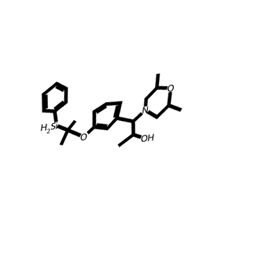 CC1CN(C(c2cccc(OC(C)(C)[SiH2]c3ccccc3)c2)C(C)O)CC(C)O1